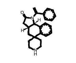 C=C(c1ccccc1)N1C(=O)C[C@H]2CC3(CCNCC3)c3ccccc3[C@H]21